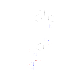 O=C1CCC(N2Cc3cc(C(=O)NCC4CCN(c5cccc(-c6cccc7ccccc67)c5)CC4)ccc3C2=O)C(=O)N1